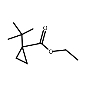 CCOC(=O)C1(C(C)(C)C)CC1